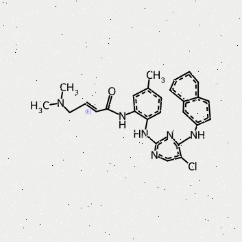 Cc1ccc(Nc2ncc(Cl)c(Nc3ccc4ccccc4c3)n2)c(NC(=O)/C=C/CN(C)C)c1